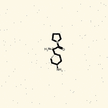 N[C@H](C(=O)N1CCCC1)[C@H]1CC[C@H](N)CC1